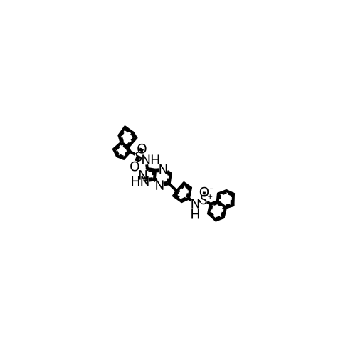 O=S(=O)(Nc1n[nH]c2nc(-c3ccc(N[S+]([O-])c4cccc5ccccc45)cc3)cnc12)c1cccc2ccccc12